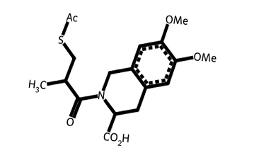 COc1cc2c(cc1OC)CN(C(=O)C(C)CSC(C)=O)C(C(=O)O)C2